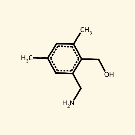 Cc1cc(C)c(CO)c(CN)c1